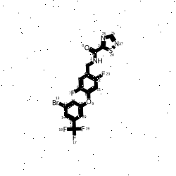 O=C(NCc1cc(F)c(Oc2cc(Br)cc(C(F)(F)F)c2)cc1F)c1ncns1